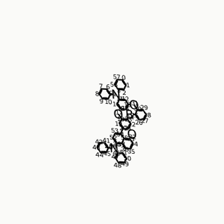 c1ccc(N(c2ccccc2)c2cc3c4c(c2)Oc2cc5c(cc2B4c2ccccc2O3)Oc2cccc3c(N(c4ccccc4)c4ccccc4)ccc-5c23)cc1